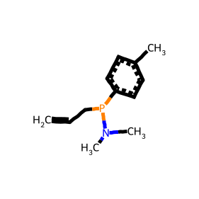 C=CCP(c1ccc(C)cc1)N(C)C